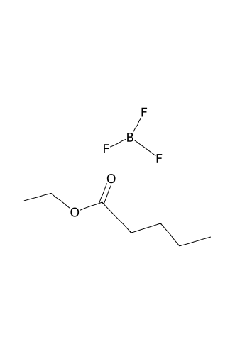 CCCCC(=O)OCC.FB(F)F